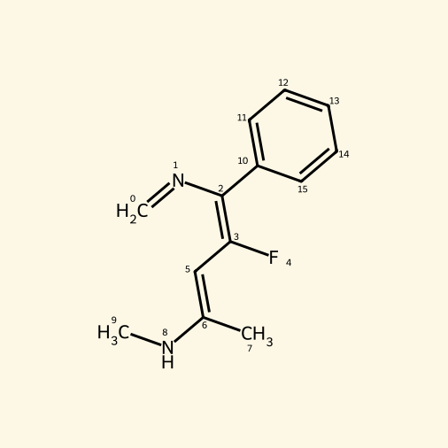 C=N/C(=C(F)\C=C(/C)NC)c1ccccc1